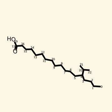 CCCCC(CCCCCCCCCCCCC(=O)O)C(C)C